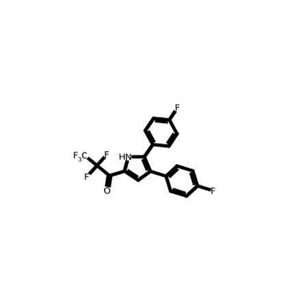 O=C(c1cc(-c2ccc(F)cc2)c(-c2ccc(F)cc2)[nH]1)C(F)(F)C(F)(F)F